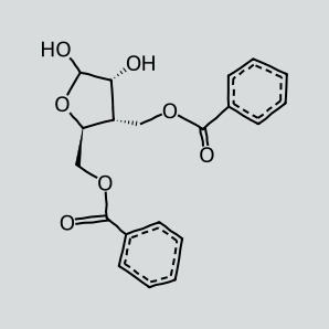 O=C(OC[C@@H]1[C@@H](COC(=O)c2ccccc2)OC(O)[C@@H]1O)c1ccccc1